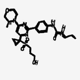 CCCNC(=O)Nc1ccc(-c2nc(N3CCOC[C@@H]3C)cc(C3(S(=O)(=O)CCCO)CC3)n2)cc1